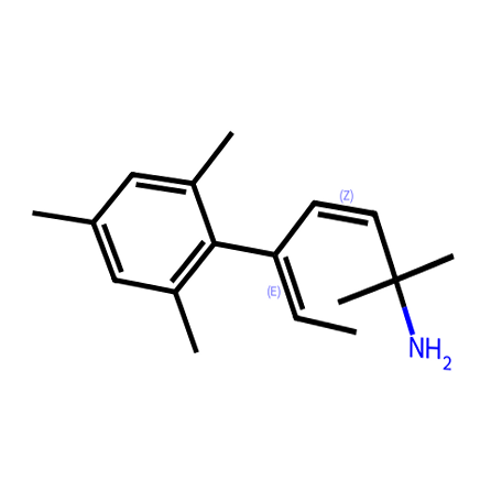 C/C=C(\C=C/C(C)(C)N)c1c(C)cc(C)cc1C